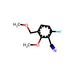 COCc1ccc(F)c(C#N)c1OC